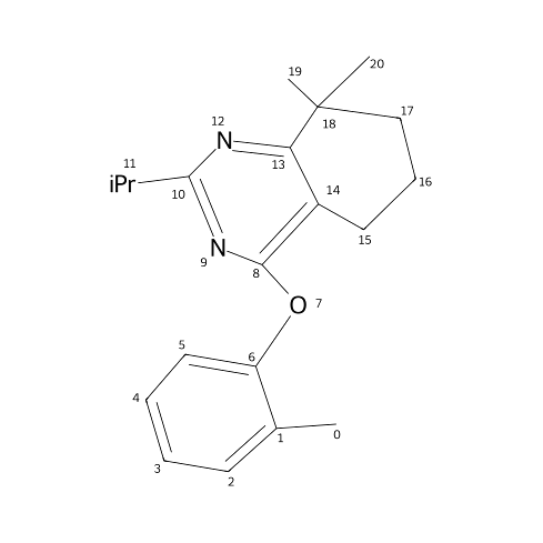 Cc1ccccc1Oc1nc(C(C)C)nc2c1CCCC2(C)C